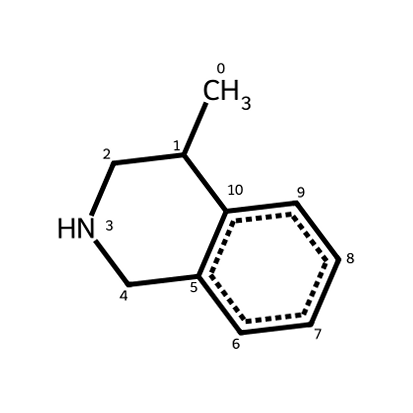 CC1CNCc2ccccc21